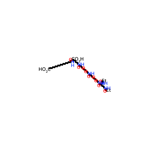 CCC(=O)NCCCC(NC(=O)CC)C(=O)NCCOCCOCCC(=O)NCCOCCOCCC(=O)NCCCCC(NC(=O)CCCCCCCCCCCCCCCCC(=O)O)C(=O)O